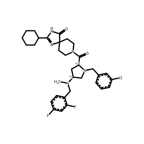 CN(Cc1ccc(F)cc1F)[C@H]1C[C@@H](C(=O)N2CCC3(CC2)N=C(C2CCCCC2)NC3=O)N(Cc2cccc(Cl)c2)C1